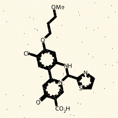 COCCCOc1cc2c(cc1Cl)-c1cc(=O)c(C(=O)O)cn1C(c1nccs1)N2